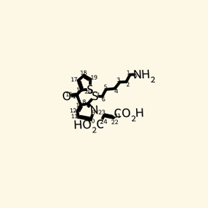 NCCCCCCSc1ncccc1C(=O)c1cccs1.O=C(O)/C=C/C(=O)O